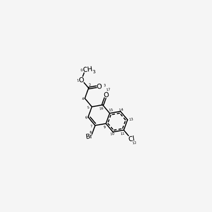 COC(=O)CC1C=C(Br)c2cc(Cl)ccc2C1=O